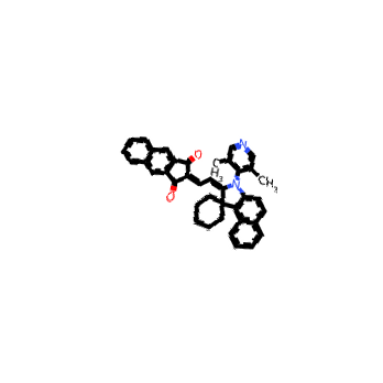 Cc1cncc(C)c1N1/C(=C/C=C2C(=O)c3cc4ccccc4cc3C2=O)C2(CCCCC2)c2c1ccc1ccccc21